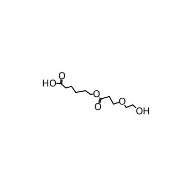 O=C(O)CCCCCOC(=O)CCOCCO